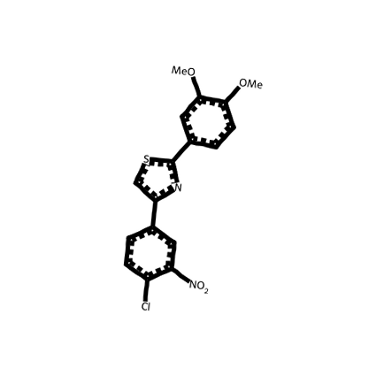 COc1ccc(-c2nc(-c3ccc(Cl)c([N+](=O)[O-])c3)cs2)cc1OC